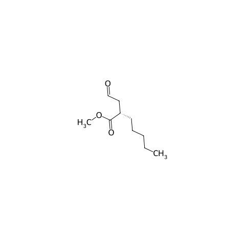 CCCCC[C@@H](CC=O)C(=O)OC